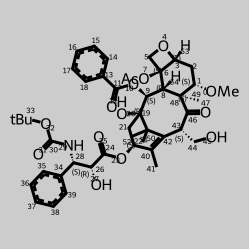 CO[C@H]1C[C@H]2OC[C@@]2(OC(C)=O)[C@H]2[C@H](OC(=O)c3ccccc3)[C@@]3(O)C[C@H](OC(=O)[C@H](O)[C@@H](NC(=O)OC(C)(C)C)c4ccccc4)C(C)=C([C@@H](CO)C(=O)[C@]12C)C3(C)C